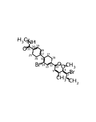 C=C/C(Br)=C(OC)\C(C)=C/C(=O)C1=CC(Br)=C(C2=CC=C(C(=O)NC)CC2)CC1